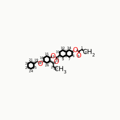 C=CC(=O)Oc1ccc2cc(C(=O)Oc3ccc(OCc4ccccc4)cc3CCC)ccc2c1